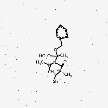 C[C@H](CS)C(=O)N(N(C)C)C(C)(OCc1ccccc1)C(=O)O